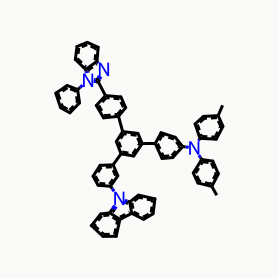 Cc1ccc(N(c2ccc(C)cc2)c2ccc(-c3cc(-c4ccc(-c5nc6ccccc6n5-c5ccccc5)cc4)cc(-c4cccc(-n5c6ccccc6c6ccccc65)c4)c3)cc2)cc1